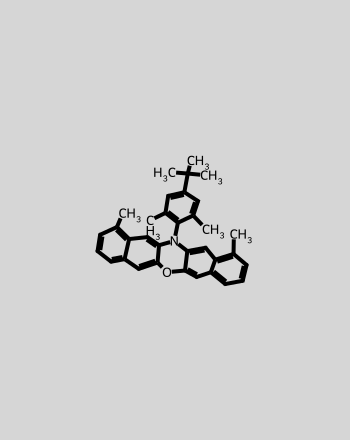 Cc1cc(C(C)(C)C)cc(C)c1N1c2cc3c(C)cccc3cc2Oc2cc3cccc(C)c3cc21